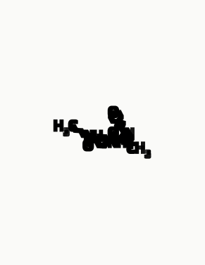 CCCCNC(=O)c1ccc(NC(=O)c2cc(C)cnc2C2CC3(CCOCC3)C2)cc1